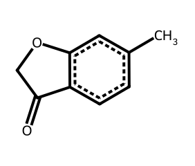 Cc1ccc2c(c1)OCC2=O